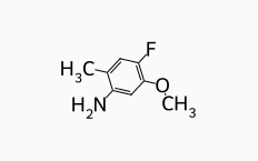 COc1cc(N)c(C)cc1F